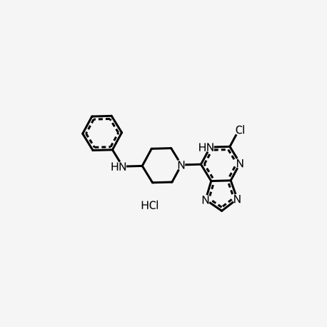 Cl.Clc1nc2ncnc-2c(N2CCC(Nc3ccccc3)CC2)[nH]1